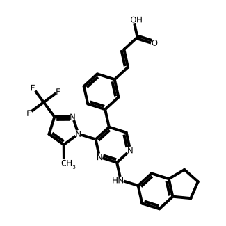 Cc1cc(C(F)(F)F)nn1-c1nc(Nc2ccc3c(c2)CCC3)ncc1-c1cccc(C=CC(=O)O)c1